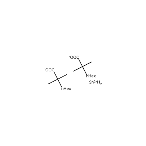 CCCCCCC(C)(C)C(=O)[O-].CCCCCCC(C)(C)C(=O)[O-].[SnH2+2]